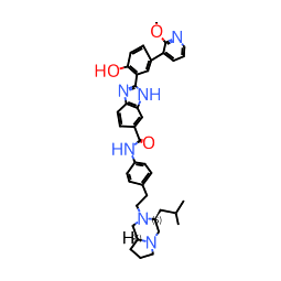 COc1ncccc1-c1ccc(O)c(-c2nc3ccc(C(=O)Nc4ccc(CCN5C[C@@H]6CCCN6C[C@@H]5CC(C)C)cc4)cc3[nH]2)c1